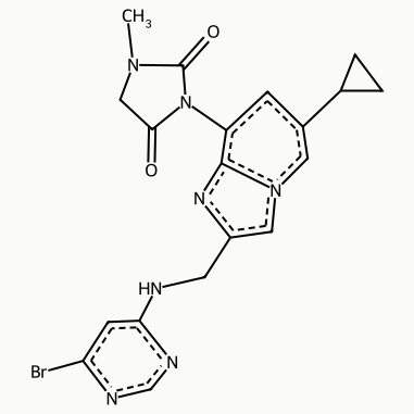 CN1CC(=O)N(c2cc(C3CC3)cn3cc(CNc4cc(Br)ncn4)nc23)C1=O